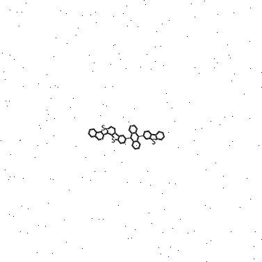 c1ccc2c(c1)ccc1c2sc2ccc3c4cc(-c5c6ccccc6c(-c6ccc7c(c6)sc6ccccc67)c6ccccc56)ccc4sc3c21